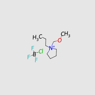 CCC[N+]1(COC)CCCC1.F[B-](F)(F)Cl